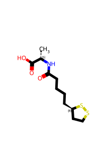 C[C@H](NC(=O)CCCC[C@@H]1CCSS1)C(=O)O